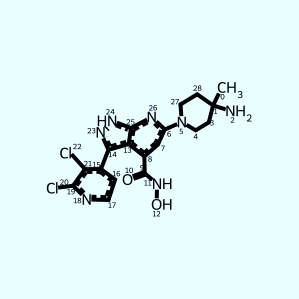 CC1(N)CCN(c2cc(C(=O)NO)c3c(-c4ccnc(Cl)c4Cl)n[nH]c3n2)CC1